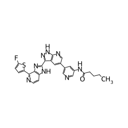 CCCCC(=O)Nc1cncc(-c2cnc3[nH]nc(-c4nc5c(-c6ccc(F)s6)nccc5[nH]4)c3c2)c1